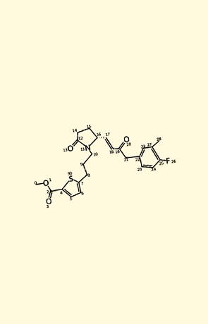 COC(=O)c1ccc(CCCN2C(=O)CC[C@@H]2C=CC(=O)Cc2ccc(F)c(C)c2)s1